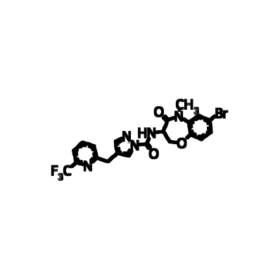 CN1C(=O)C(NC(=O)n2cc(Cc3cccc(C(F)(F)F)n3)cn2)COc2ccc(Br)cc21